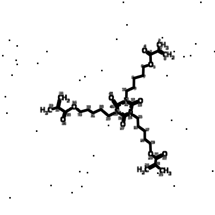 C=C(C)C(=O)OCCCCCn1c(=O)n(CCCCCOC(=O)C(=C)C)c(=O)n(CCCCCOC(=O)C(=C)C)c1=O